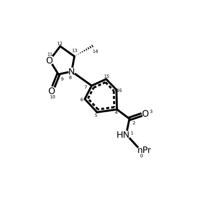 CCCNC(=O)c1ccc(N2C(=O)OC[C@@H]2C)cc1